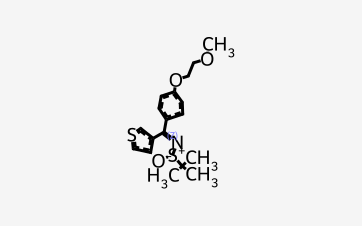 COCCOc1ccc(/C(=N/[S+]([O-])C(C)(C)C)c2ccsc2)cc1